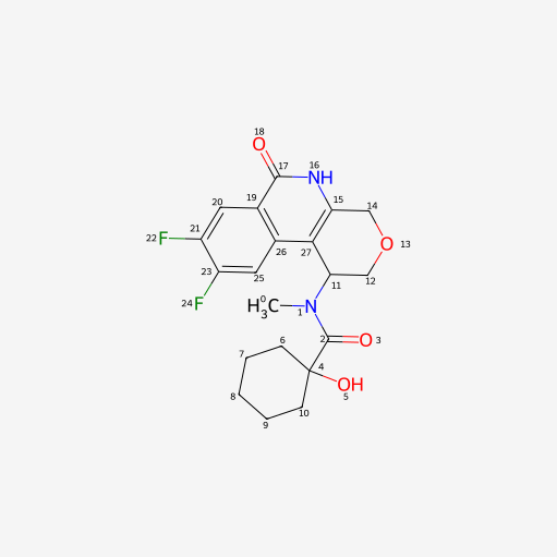 CN(C(=O)C1(O)CCCCC1)C1COCc2[nH]c(=O)c3cc(F)c(F)cc3c21